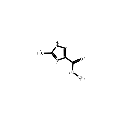 COC(=O)c1c[nH]c(C)n1